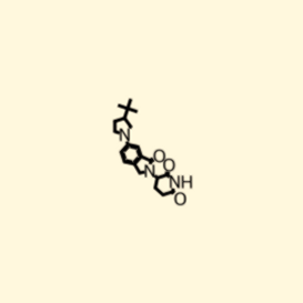 CC(C)(C)C1CCN(c2ccc3c(c2)C(=O)N(C2CCC(=O)NC2=O)C3)C1